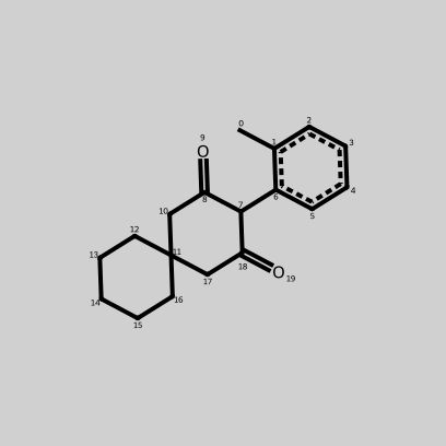 Cc1ccccc1C1C(=O)CC2(CCCCC2)CC1=O